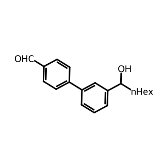 CCCCCCC(O)c1cccc(-c2ccc(C=O)cc2)c1